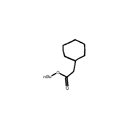 CCCCOC(=O)CC1CCCCC1